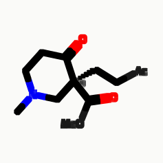 COC(=O)[C@@]1(CCC(C)=O)CN(C)CCC1=O